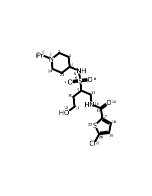 CC(C)N1CCC(NS(=O)(=O)C(CCO)CNC(=O)c2ccc(Cl)s2)CC1